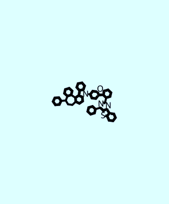 c1ccc(-c2nc(-c3cccc4oc5cc(-n6c7ccccc7c7c8c(ccc76)CCC(c6ccccc6)c6ccccc6-8)ccc5c34)nc3c2sc2ccccc23)cc1